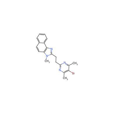 Cc1nc(CCc2nc3c4ccccc4ccc3n2C)nc(C)c1Br